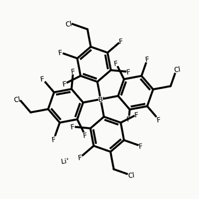 Fc1c(F)c([B-](c2c(F)c(F)c(CCl)c(F)c2F)(c2c(F)c(F)c(CCl)c(F)c2F)c2c(F)c(F)c(CCl)c(F)c2F)c(F)c(F)c1CCl.[Li+]